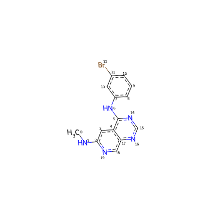 CNc1cc2c(Nc3cccc(Br)c3)ncnc2cn1